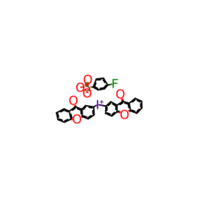 O=S(=O)([O-])c1ccc(F)cc1.O=c1c2ccccc2oc2ccc([I+]c3ccc4oc5ccccc5c(=O)c4c3)cc12